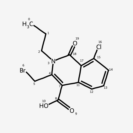 CCCn1c(CBr)c(C(=O)O)c2cccc(Cl)c2c1=O